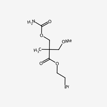 COCC(C)(COC(N)=O)C(=O)OCCC(C)C